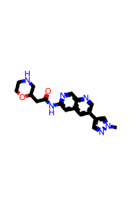 Cn1cc(-c2cnc3cnc(NC(=O)CC4CNCCO4)cc3c2)cn1